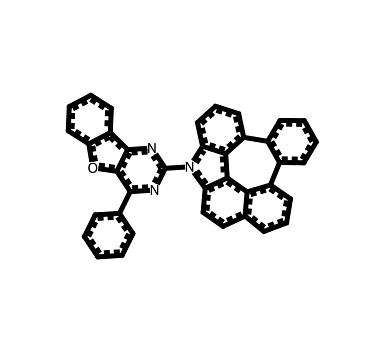 c1ccc(-c2nc(-n3c4cccc5c4c4c6c(cccc6ccc43)-c3ccccc3-5)nc3c2oc2ccccc23)cc1